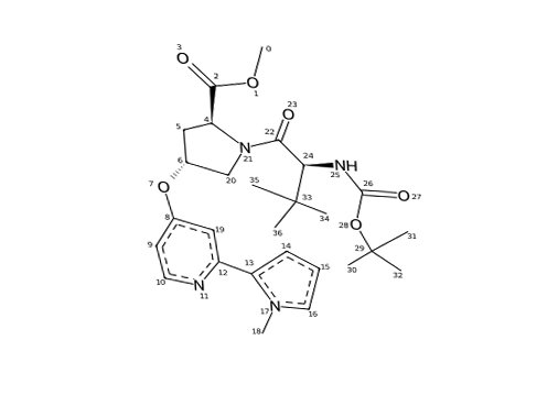 COC(=O)[C@@H]1C[C@@H](Oc2ccnc(-c3cccn3C)c2)CN1C(=O)[C@@H](NC(=O)OC(C)(C)C)C(C)(C)C